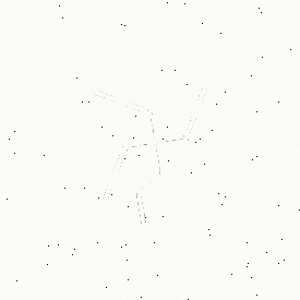 C=C[CH2][Sn]([N]=C=S)([N]=C=S)[N]=C=S